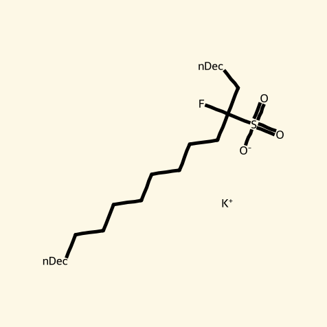 CCCCCCCCCCCCCCCCCCC(F)(CCCCCCCCCCC)S(=O)(=O)[O-].[K+]